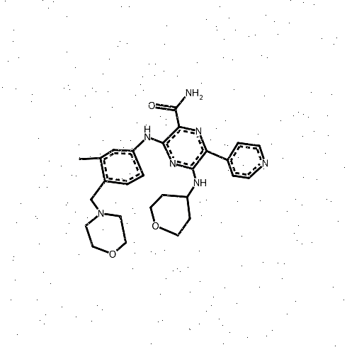 Cc1cc(Nc2nc(NC3CCOCC3)c(-c3ccncc3)nc2C(N)=O)ccc1CN1CCOCC1